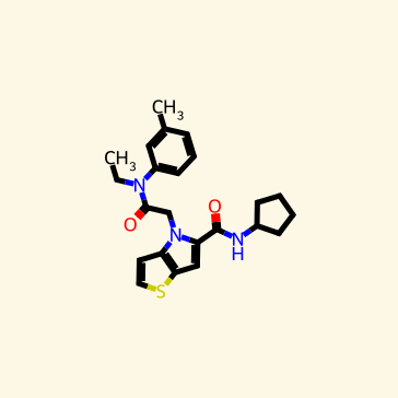 CCN(C(=O)Cn1c(C(=O)NC2CCCC2)cc2sccc21)c1cccc(C)c1